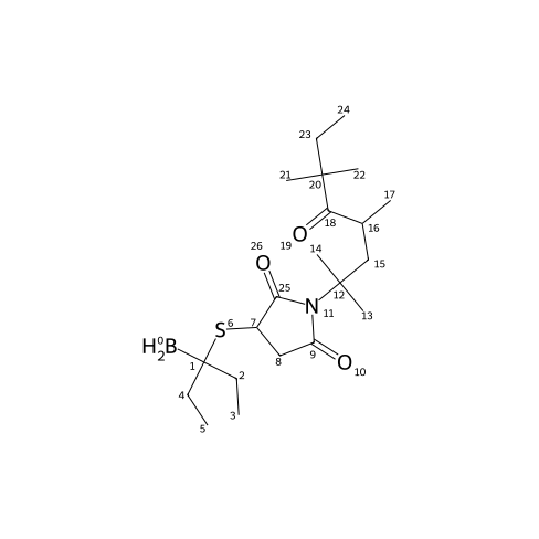 BC(CC)(CC)SC1CC(=O)N(C(C)(C)CC(C)C(=O)C(C)(C)CC)C1=O